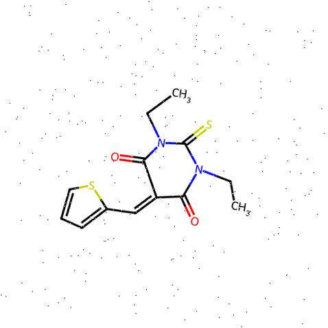 CCN1C(=O)C(=Cc2cccs2)C(=O)N(CC)C1=S